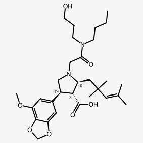 CCCCN(CCCO)C(=O)CN1C[C@H](c2cc(OC)c3c(c2)OCO3)[C@@H](C(=O)O)[C@@H]1CC(C)(C)C=C(C)C